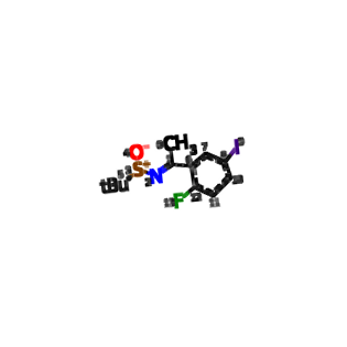 CC(=N[S@+]([O-])C(C)(C)C)c1cc(I)ccc1F